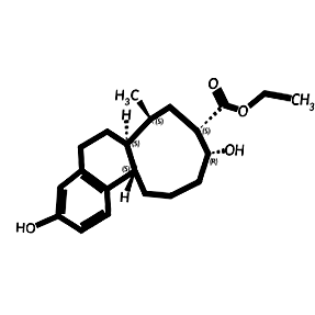 CCOC(=O)[C@H]1C[C@H](C)[C@@H]2CCc3cc(O)ccc3[C@H]2CCC[C@H]1O